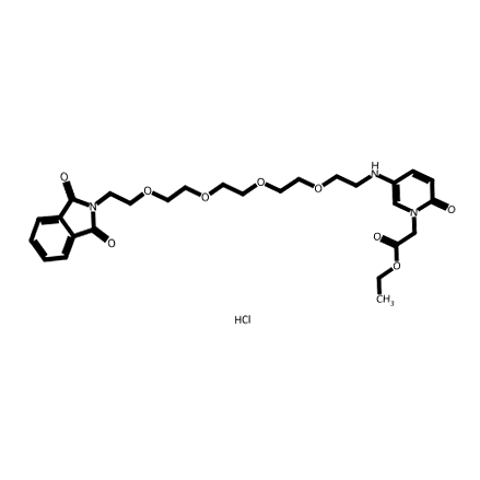 CCOC(=O)Cn1cc(NCCOCCOCCOCCOCCN2C(=O)c3ccccc3C2=O)ccc1=O.Cl